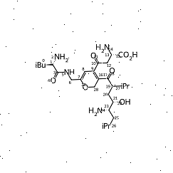 CC[C@H](C)[C@H](N)C(=O)NCC1=CC(C(=O)C[C@H](N)C(=O)O)=C(C(=O)C(C[C@H](O)[C@@H](N)CC(C)C)C(C)C)CO1